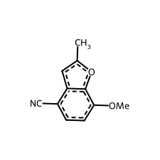 COc1ccc(C#N)c2cc(C)oc12